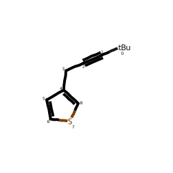 CC(C)(C)C#CCc1ccsc1